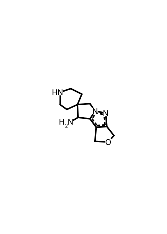 NC1c2c3c(nn2CC12CCNCC2)COC3